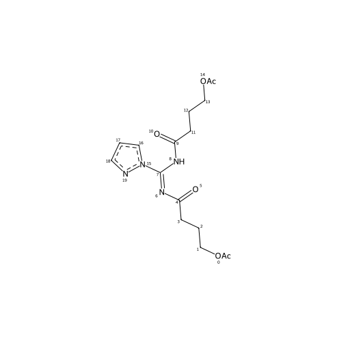 CC(=O)OCCCC(=O)N=C(NC(=O)CCCOC(C)=O)n1cccn1